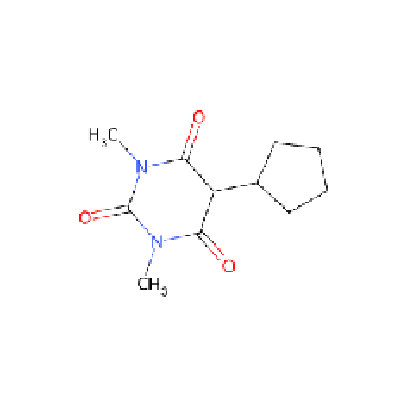 CN1C(=O)C(C2CCCC2)C(=O)N(C)C1=O